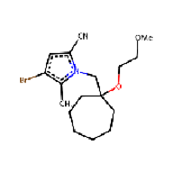 COCCOC1(Cn2c(C#N)cc(Br)c2C)CCCCCC1